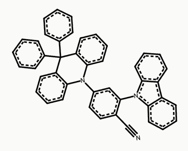 N#Cc1ccc(N2c3ccccc3C(c3ccccc3)(c3ccccc3)c3ccccc32)cc1-n1c2ccccc2c2ccccc21